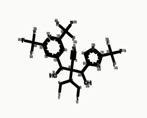 N#CC(C(CI)CI)(C(O)c1cc(C(F)(F)F)nc(C(F)(F)F)c1)C(O)c1csc(C(F)(F)F)n1